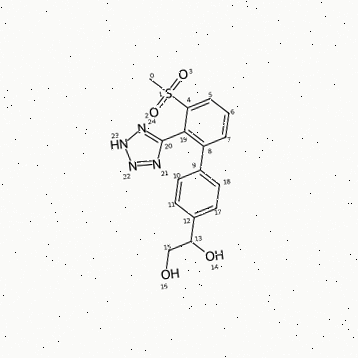 CS(=O)(=O)c1cccc(-c2ccc(C(O)CO)cc2)c1-c1nn[nH]n1